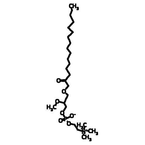 CCCCCCCCCCCCCCC(=O)COCC(COP(=O)([O-])OCC[N+](C)(C)C)OC